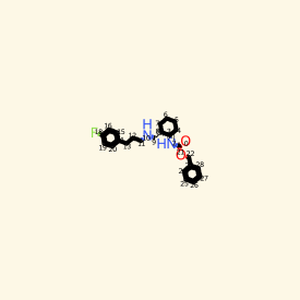 O=C(N[C@@H]1CCCC[C@H]1CNCCCc1ccc(F)cc1)OCc1ccccc1